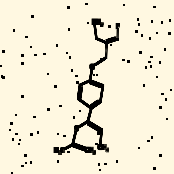 C=C(C)S/C(=C\C)c1ccc(OC/C(=C/F)CN)cc1